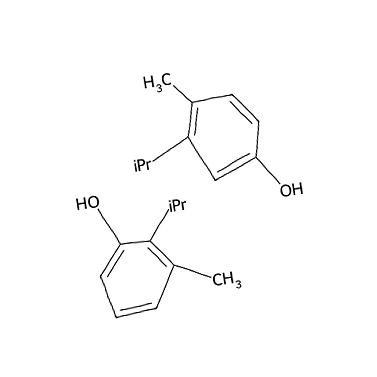 Cc1ccc(O)cc1C(C)C.Cc1cccc(O)c1C(C)C